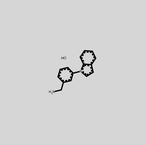 Cl.NCc1cccc(-n2ccc3ccccc32)c1